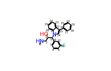 CNC[C@@H](O)[C@H](c1cccc(F)c1)n1cc(-c2ccccc2)c2ccccc21